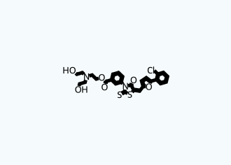 O=C(OCCN(CCO)CCO)c1cccc(N2C(=O)/C(=C\c3ccc(-c4ccccc4Cl)o3)SC2=S)c1